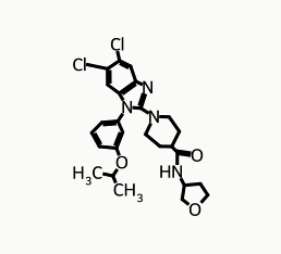 CC(C)Oc1cccc(-n2c(N3CCC(C(=O)NC4CCOC4)CC3)nc3cc(Cl)c(Cl)cc32)c1